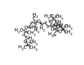 C[Si](C)(C)O[SiH2]C[Si](C)(C)O[SiH2]C[Si](C)(C)O[SiH2]CC[Si](C)(O[Si](C)(C)C)O[Si](C)(C)O[Si](C)(C)C